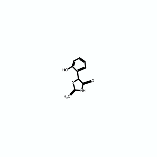 C=C1NC(=O)C(c2ccccc2O)S1